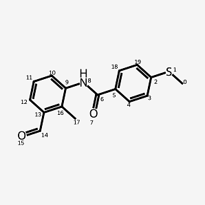 CSc1ccc(C(=O)Nc2cccc(C=O)c2C)cc1